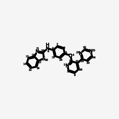 c1cnc(Oc2ccc(Nc3nc4ccccc4s3)cc2)c(-c2ccncn2)c1